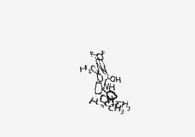 CC(=O)NC(Cc1cc(F)cc(F)c1)C(O)CNC1(c2cccc(C(C)(C)C)c2)CCCCC1C